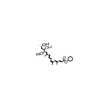 CC(=C/C/C=C/C(C)=C/[C@H](O)[C@@H](O)C[C@H](C)O)/C=C(C)/C=C/C(=O)OC1CCCCC1